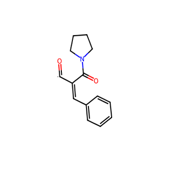 O=[C]C(=Cc1ccccc1)C(=O)N1CCCC1